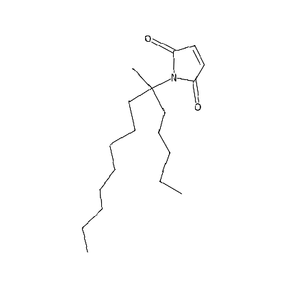 CCCCCCCCC(C)(CCCCC)N1C(=O)C=CC1=O